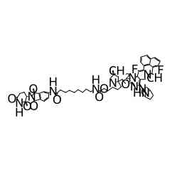 C#Cc1c(F)ccc2cccc(-c3ncc4c(N5CC6CCC(C5)N6)nc(OCC56CCC(COC(=O)NCCCCCCCCC(=O)Nc7ccc8c(c7)C(=O)N(C7CCC(=O)NC7=O)C8=O)N5CC(=C)C6)nc4c3F)c12